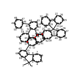 CC1(C)c2ccccc2-c2c(-c3ccc(N(c4ccc5c(c4)C(c4ccccc4)(c4ccccc4)c4ccccc4-5)c4cccc(-c5ccccc5)c4-c4ccccc4-c4ccccc4)cc3)cccc21